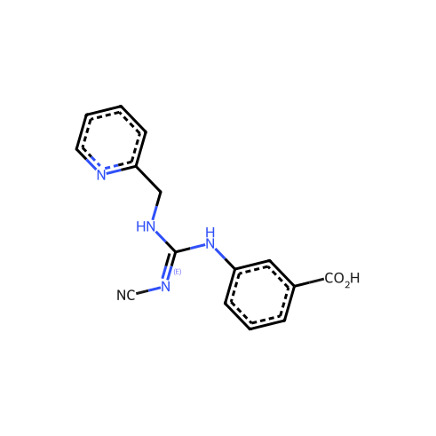 N#C/N=C(\NCc1ccccn1)Nc1cccc(C(=O)O)c1